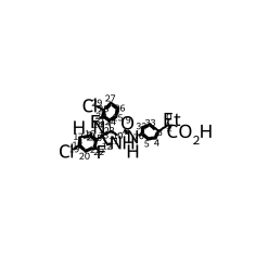 CC[C@@H](C(=O)O)c1ccc(NC(=O)[C@@H]2NC[C@](N)(c3ccc(Cl)cc3F)[C@H]2c2cccc(Cl)c2F)cc1